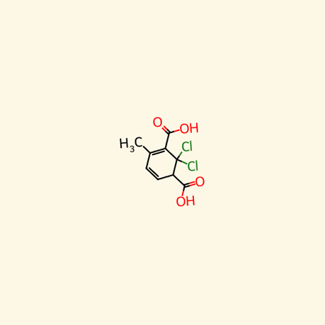 CC1=C(C(=O)O)C(Cl)(Cl)C(C(=O)O)C=C1